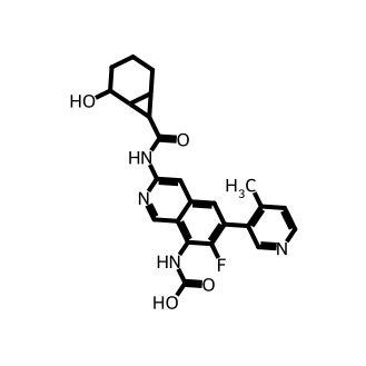 Cc1ccncc1-c1cc2cc(NC(=O)C3C4CCCC(O)C43)ncc2c(NC(=O)O)c1F